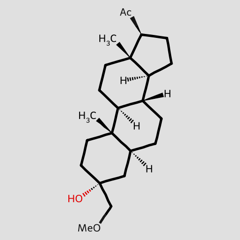 COC[C@@]1(O)CC[C@@]2(C)[C@@H](CC[C@@H]3[C@@H]2CC[C@]2(C)[C@@H](C(C)=O)CC[C@@H]32)C1